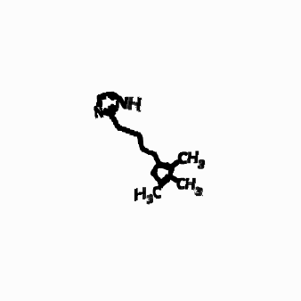 CC1=C(C)C(C)=C(CCCCc2ncc[nH]2)C1